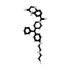 O=C1COc2ccc(C(=O)N3CCC(C(c4ccccc4)c4ccc(OCCOCCF)cc4)CC3)cc2N1